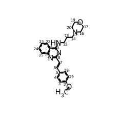 COc1ccc(C=Cc2nc(NCCCN3CCOCC3)c3ccccc3n2)cc1